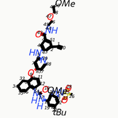 C#Cc1cc(Nc2cc(Oc3ccc(NC(=O)Nc4cc(C(C)(C)C)cc(NS(C)(=O)=O)c4OC)c4c3CCC=C4)ccn2)cc(C(=O)NCCOCCOC)c1